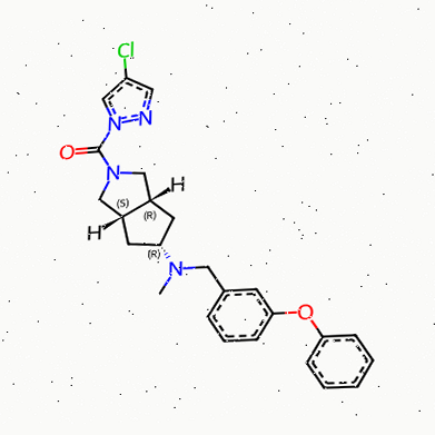 CN(Cc1cccc(Oc2ccccc2)c1)[C@@H]1C[C@@H]2CN(C(=O)n3cc(Cl)cn3)C[C@@H]2C1